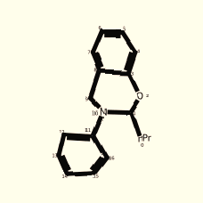 CCCC1Oc2ccccc2CN1c1ccccc1